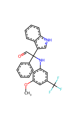 COc1cc(NC(C=O)(c2ccccc2)c2c[nH]c3ccccc23)cc(C(F)(F)F)c1